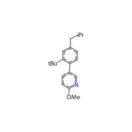 COc1ccc(-c2ccc(CC(C)C)cc2C(C)(C)C)cn1